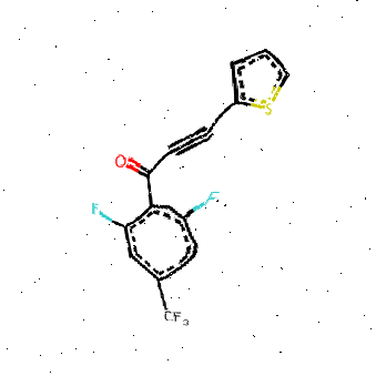 O=C(C#Cc1cccs1)c1c(F)cc(C(F)(F)F)cc1F